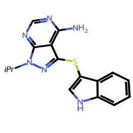 CC(C)n1nc(Sc2c[nH]c3ccccc23)c2c(N)ncnc21